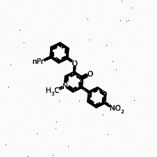 CCCc1cccc(Oc2cn(C)cc(-c3ccc([N+](=O)[O-])cc3)c2=O)c1